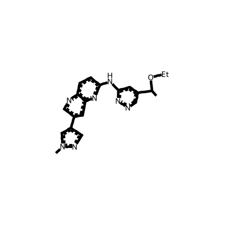 CCOC(C)c1cnnc(Nc2ccc3ncc(-c4cnn(C)c4)cc3n2)c1